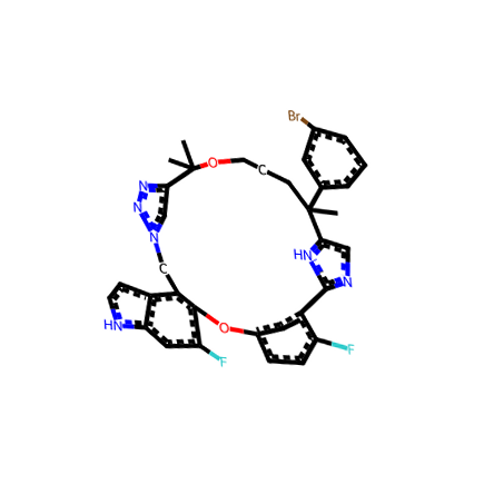 CC1(C)OCCCC(C)(c2cccc(Br)c2)c2cnc([nH]2)-c2cc(ccc2F)Oc2c(F)cc3[nH]ccc3c2Cn2cc1nn2